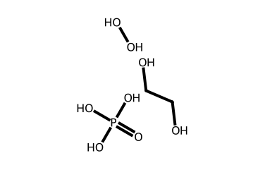 O=P(O)(O)O.OCCO.OO